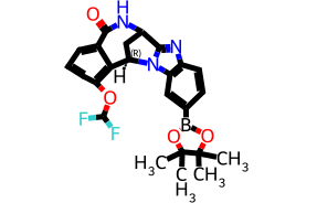 CC1(C)OB(c2ccc3nc4n(c3c2)[C@@H]2CC4NC(=O)c3cccc(OC(F)F)c32)OC1(C)C